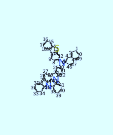 c1ccc2cc(N(c3ccc4c(c3)sc3ccccc34)c3ccc4c(c3)c3ccc5c6ccccc6n6c7ccccc7n4c3c56)ccc2c1